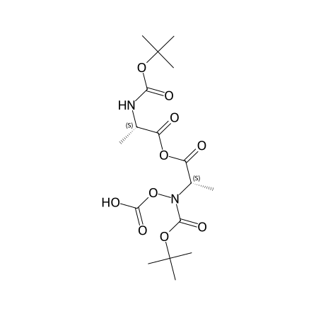 C[C@H](NC(=O)OC(C)(C)C)C(=O)OC(=O)[C@H](C)N(OC(=O)O)C(=O)OC(C)(C)C